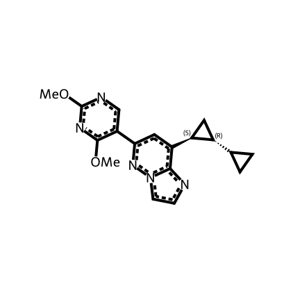 COc1ncc(-c2cc([C@H]3C[C@@H]3C3CC3)c3nccn3n2)c(OC)n1